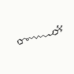 FC(F)(F)c1ccc(C=CCCCCCCCCOCc2ccccc2)cc1